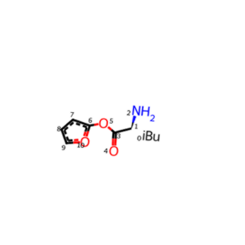 CC[C@H](C)[C@H](N)C(=O)Oc1ccco1